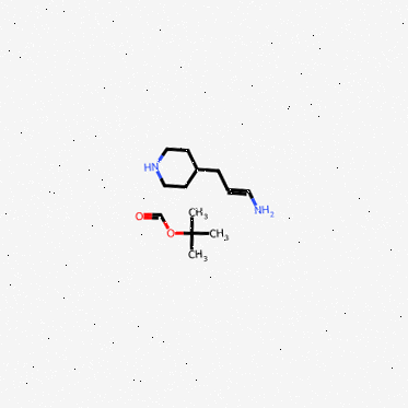 CC(C)(C)OC=O.NC=CCC1CCNCC1